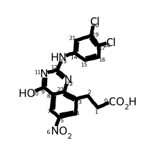 O=C(O)CCc1cc([N+](=O)[O-])cc2c(O)nc(Nc3ccc(Cl)c(Cl)c3)nc12